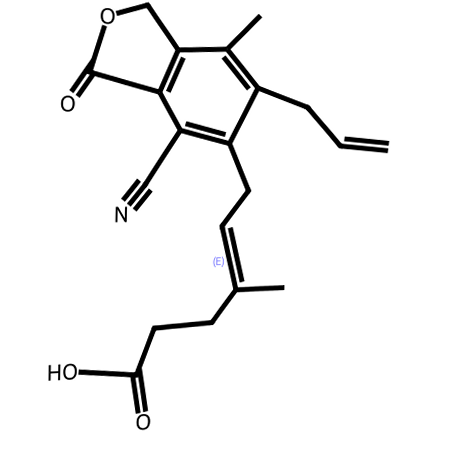 C=CCc1c(C)c2c(c(C#N)c1C/C=C(\C)CCC(=O)O)C(=O)OC2